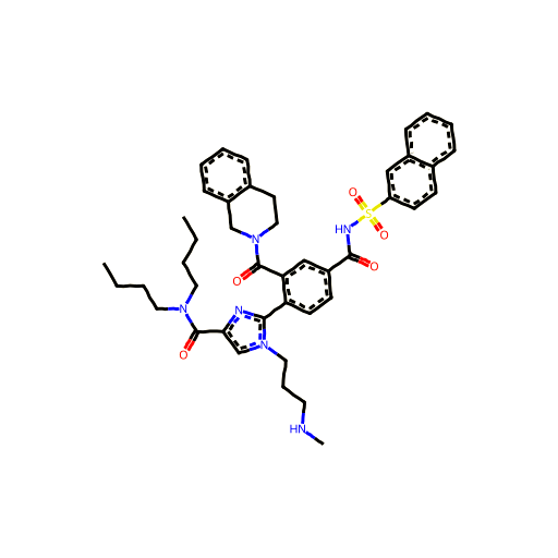 CCCCN(CCCC)C(=O)c1cn(CCCNC)c(-c2ccc(C(=O)NS(=O)(=O)c3ccc4ccccc4c3)cc2C(=O)N2CCc3ccccc3C2)n1